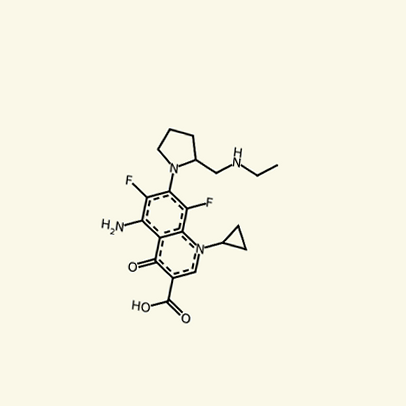 CCNCC1CCCN1c1c(F)c(N)c2c(=O)c(C(=O)O)cn(C3CC3)c2c1F